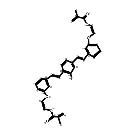 C=C(C)C(=O)O/C=C\Oc1cccc(/C=C/c2ccc(/C=C/c3cccc(O/C=C\OC(=O)C(=C)C)c3)c(F)c2)c1